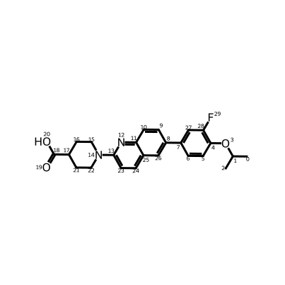 CC(C)Oc1ccc(-c2ccc3nc(N4CCC(C(=O)O)CC4)ccc3c2)cc1F